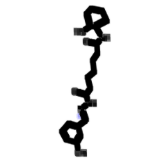 O=C(CCCCCC(=O)Nc1ccccc1O)N/N=C/c1cccc(O)c1